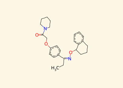 CCC(=NOC1CCCc2ccccc21)c1ccc(OCC(=O)N2CCCCC2)cc1